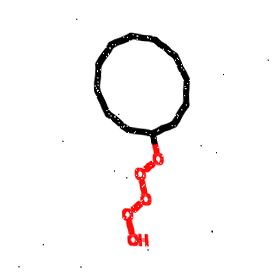 OOOOOC1CCCCCCCCCCC1